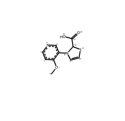 COc1ccncc1N1C=CSC1C(=O)O